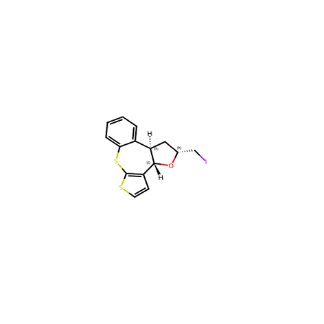 IC[C@H]1C[C@@H]2c3ccccc3Sc3sccc3[C@H]2O1